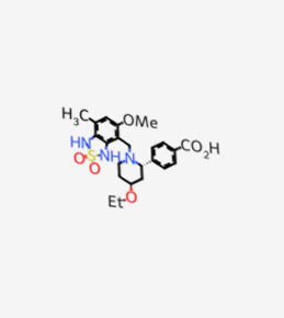 CCO[C@H]1CCN(Cc2c(OC)cc(C)c3c2NS(=O)(=O)N3)[C@H](c2ccc(C(=O)O)cc2)C1